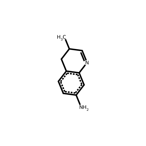 CC1C=Nc2cc(N)ccc2C1